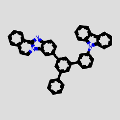 c1ccc(-c2cc(-c3cccc(-n4c5ccccc5c5ccccc54)c3)cc(-c3ccc4nc5c6ccccc6ccn5c4c3)c2)cc1